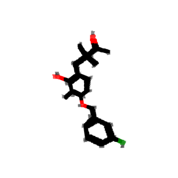 CC(=O)C(C)(C)Cc1ccc(OCc2cccc(Br)c2)c(C)c1O